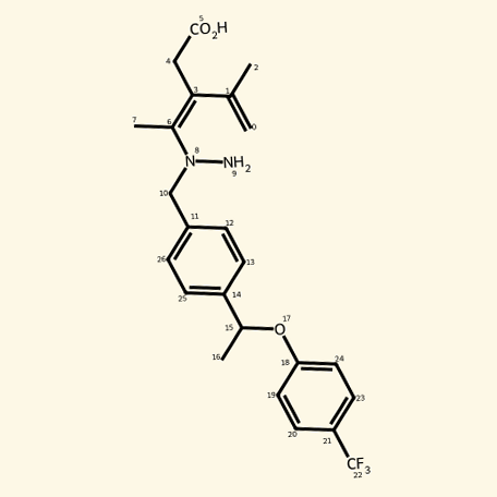 C=C(C)/C(CC(=O)O)=C(/C)N(N)Cc1ccc(C(C)Oc2ccc(C(F)(F)F)cc2)cc1